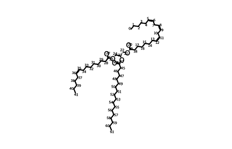 CCCCC/C=C\C/C=C\C/C=C\CCCCCCC(=O)OC[C@@H](COC(=O)CCCCCCC/C=C\CCCCC)OC(=O)CCCCCCCCCCCCCCCCC